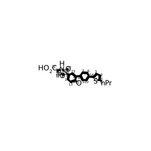 CCCc1ccc(-c2ccc3c(c2)oc2ccc(S(=O)(=O)N[C@H](C(=O)O)C(C)C)cc23)s1